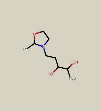 CCCCC(O)C(O)CCN1CCOC1C(C)C